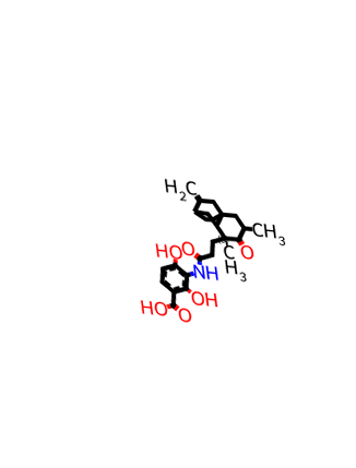 C=C1CC23CCC1CC2[C@](C)(CCC(=O)Nc1c(O)ccc(C(=O)O)c1O)C(=O)C(C)C3